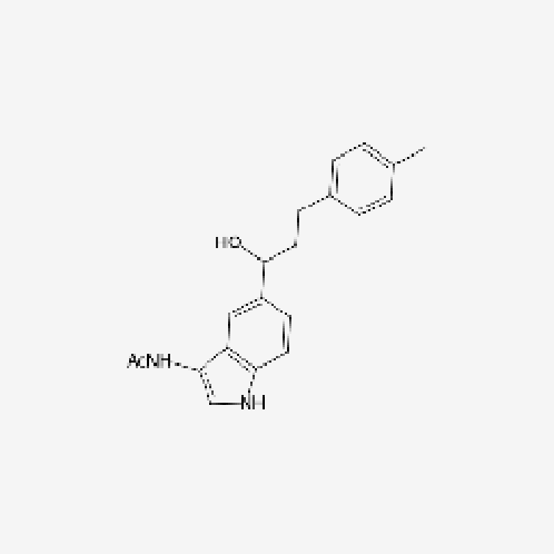 CC(=O)Nc1c[nH]c2ccc(C(O)CCc3ccc(C)cc3)cc12